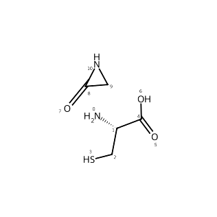 N[C@@H](CS)C(=O)O.O=C1CN1